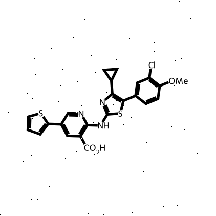 COc1ccc(-c2sc(Nc3ncc(-c4cccs4)cc3C(=O)O)nc2C2CC2)cc1Cl